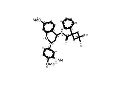 COc1ccc2c(c1)O[C@H](c1ccc(OC)c(OC)c1)CC2NC(=O)C1(c2ccccc2)CC(F)(F)C1